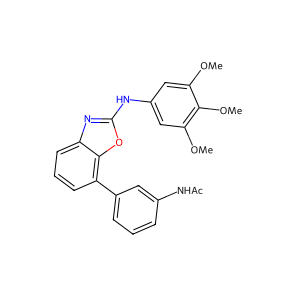 COc1cc(Nc2nc3cccc(-c4cccc(NC(C)=O)c4)c3o2)cc(OC)c1OC